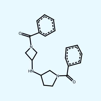 O=C(c1ccccc1)N1CCC(NC2CN(C(=O)c3cc[c]cc3)C2)C1